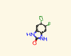 O=c1[nH]c2cc(F)c(Cl)cc2[nH]1